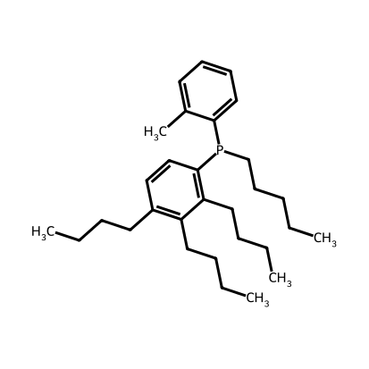 CCCCCP(c1ccccc1C)c1ccc(CCCC)c(CCCC)c1CCCC